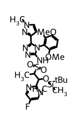 COc1cccc(OC)c1-n1c(NS(=O)(=O)C(C)C(O[Si](C)(C)C(C)(C)C)c2ncc(F)cn2)nnc1-c1ccn(C)n1